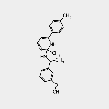 COc1cccc(C(C)NC2(C)N=CC=C(c3ccc(C)cc3)N2)c1